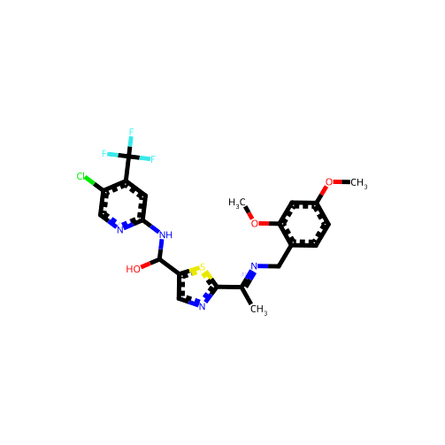 COc1ccc(C/N=C(\C)c2ncc(C(O)Nc3cc(C(F)(F)F)c(Cl)cn3)s2)c(OC)c1